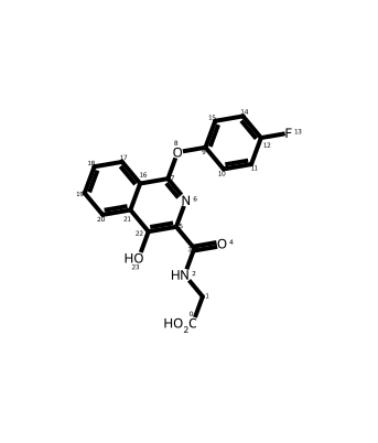 O=C(O)CNC(=O)c1nc(Oc2ccc(F)cc2)c2ccccc2c1O